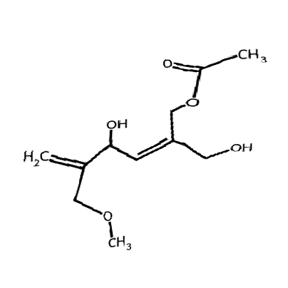 C=C(COC)C(O)C=C(CO)COC(C)=O